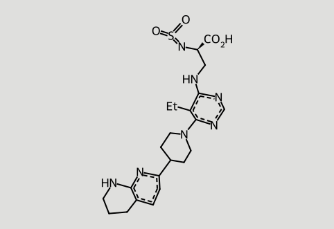 CCc1c(NC[C@@H](N=S(=O)=O)C(=O)O)ncnc1N1CCC(c2ccc3c(n2)NCCC3)CC1